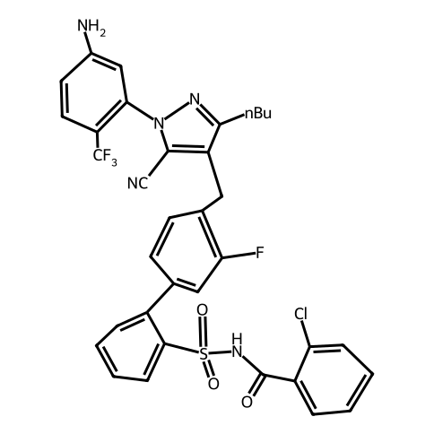 CCCCc1nn(-c2cc(N)ccc2C(F)(F)F)c(C#N)c1Cc1ccc(-c2ccccc2S(=O)(=O)NC(=O)c2ccccc2Cl)cc1F